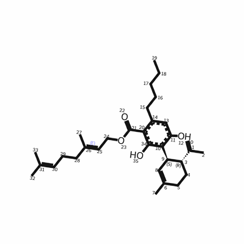 C=C(C)[C@@H]1CCC(C)=C[C@H]1c1c(O)cc(CCCCC)c(C(=O)OC/C=C(\C)CCC=C(C)C)c1O